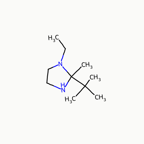 CCN1CCNC1(C)C(C)(C)C